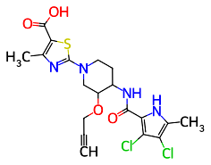 C#CCOC1CN(c2nc(C)c(C(=O)O)s2)CCC1NC(=O)c1[nH]c(C)c(Cl)c1Cl